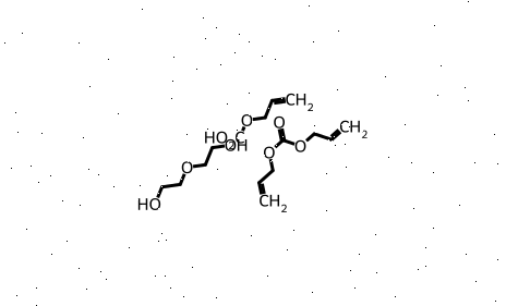 C=CCOC(=O)O.C=CCOC(=O)OCC=C.OCCOCCO